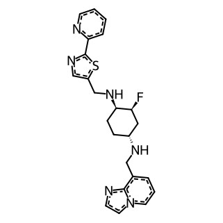 F[C@H]1C[C@H](NCc2cccn3ccnc23)CC[C@H]1NCc1cnc(-c2ccccn2)s1